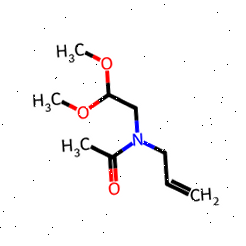 C=CCN(CC(OC)OC)C(C)=O